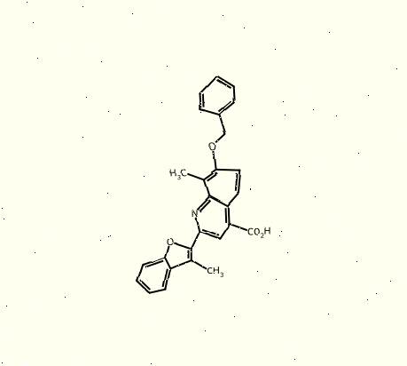 Cc1c(-c2cc(C(=O)O)c3ccc(OCc4ccccc4)c(C)c3n2)oc2ccccc12